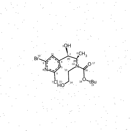 C[C@H]([C@H](O)c1cc(Cl)nc(Br)c1)N(CCO)C(=O)OC(C)(C)C